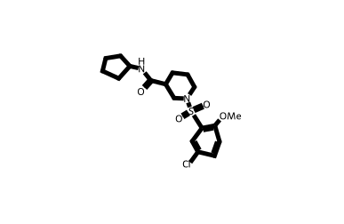 COc1ccc(Cl)cc1S(=O)(=O)N1CCCC(C(=O)NC2CCCC2)C1